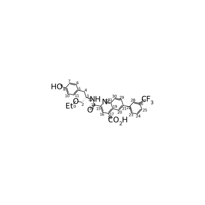 CCOC[C@H](Cc1ccc(O)cc1)NC(=O)c1cc(C(=O)O)c2cc(-c3cccc(C(F)(F)F)c3)ccc2n1